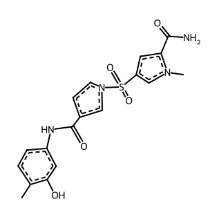 Cc1ccc(NC(=O)c2ccn(S(=O)(=O)c3cc(C(N)=O)n(C)c3)c2)cc1O